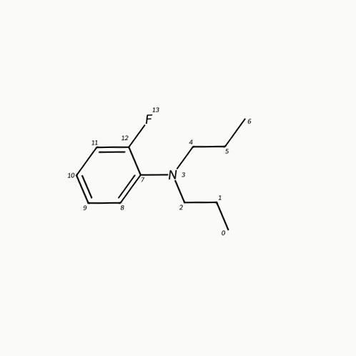 CCCN(CCC)c1ccccc1F